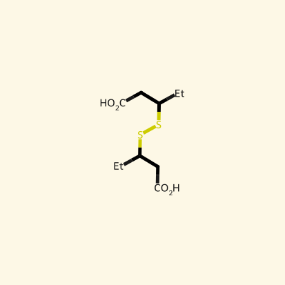 CCC(CC(=O)O)SSC(CC)CC(=O)O